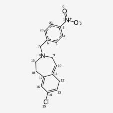 O=[N+]([O-])c1ccc(CN2CC=C3CC=C(Cl)C=C3CC2)cc1